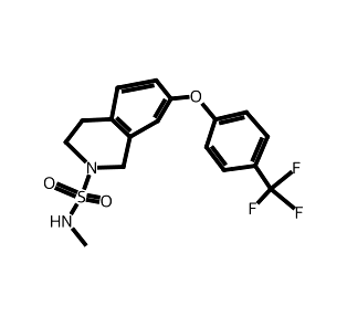 CNS(=O)(=O)N1CCc2ccc(Oc3ccc(C(F)(F)F)cc3)cc2C1